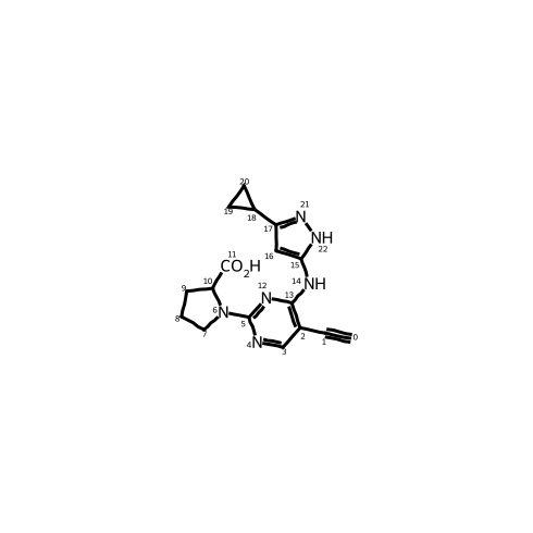 C#Cc1cnc(N2CCCC2C(=O)O)nc1Nc1cc(C2CC2)n[nH]1